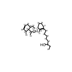 CCC(O)CCCCCC1=C(C)[C@H](CCC2CC=C[C@H](C)C2C(C)O)CCC1